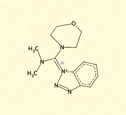 CN(C)/C(N1CCOCC1)=[N+]1\N=Nc2ccccc21